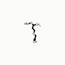 C#CCOCCC(C)OCCCC